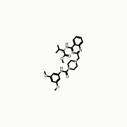 COC(=O)[C@@H](Nc1nc(CN2CCN(C(=O)Nc3cc(OC)cc(OC)c3)CC2)nc2ccccc12)C(C)C